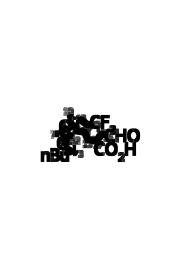 CCCC[Si](C)(C)O[Si](C)(C)O[Si](C)(CCCC(CC=O)C(=O)O)CCC(F)(F)F